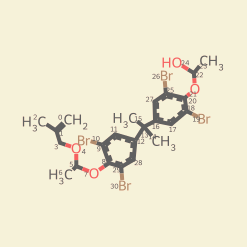 C=C(C)COC(C)Oc1c(Br)cc(C(C)(C)c2cc(Br)c(OC(C)O)c(Br)c2)cc1Br